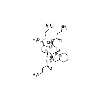 C[C@H](CCCN)C1CC[C@H]2C3[C@H](OC(=O)CCN)CC4CCCC[C@]4(C)[C@H]3C[C@H](OC(=O)CCN)[C@]12C